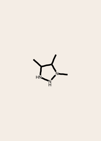 CC1NNN(C)C1C